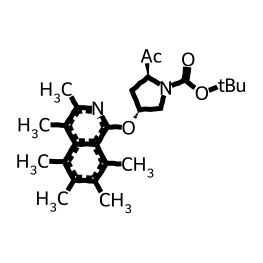 CC(=O)[C@@H]1C[C@@H](Oc2nc(C)c(C)c3c(C)c(C)c(C)c(C)c23)CN1C(=O)OC(C)(C)C